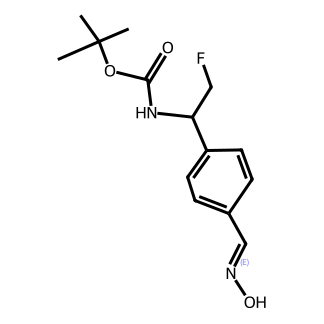 CC(C)(C)OC(=O)NC(CF)c1ccc(/C=N/O)cc1